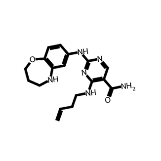 C=CCCNc1nc(Nc2ccc3c(c2)NCCCO3)ncc1C(N)=O